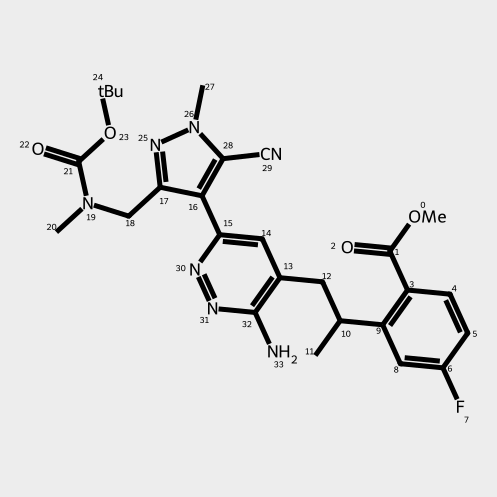 COC(=O)c1ccc(F)cc1C(C)Cc1cc(-c2c(CN(C)C(=O)OC(C)(C)C)nn(C)c2C#N)nnc1N